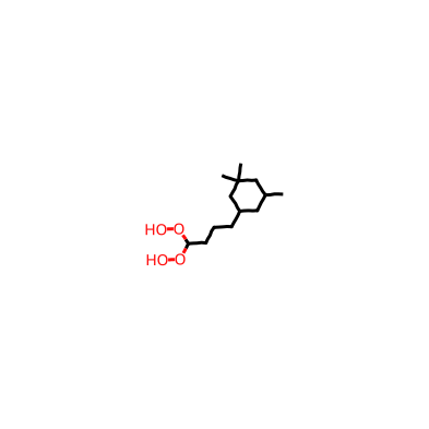 CC1CC(CCCC(OO)OO)CC(C)(C)C1